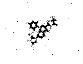 CC(NC(=O)c1cn(-c2c(F)cc(F)cc2F)c2nc(N3C[C@@H](C)NC3O)ccc2c1=O)C(F)(F)C(F)(F)F